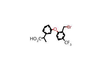 CC(C(=O)O)c1cccc(Oc2ccc(C(F)(F)F)cc2CBr)c1